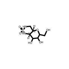 O=S1(=O)NC[C@@H]2OC(CO)C(O)C(O)[C@@H]2N1